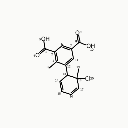 Cc1c(C(=O)O)cc(C(=O)O)cc1C1C=CC=CC1(C)Cl